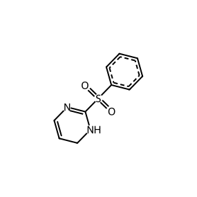 O=S(=O)(C1=NC=CCN1)c1ccccc1